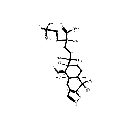 CCCC(C)(C)CC[C@@](C)(CCC(C)(C)[C@]1(C)CC[C@H]2C(C)(C)c3oncc3C[C@]2(C)/C1=C/C(C)=O)C(=O)OC